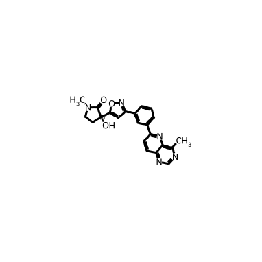 Cc1ncnc2ccc(-c3cccc(-c4cc([C@]5(O)CCN(C)C5=O)on4)c3)nc12